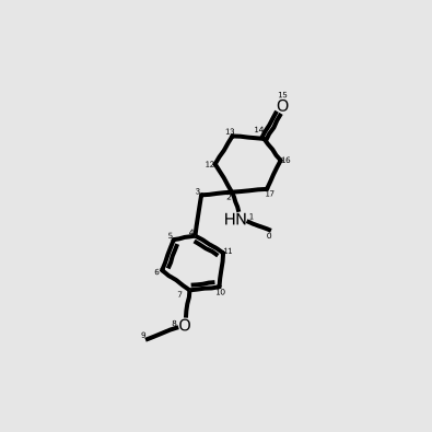 CNC1(Cc2ccc(OC)cc2)CCC(=O)CC1